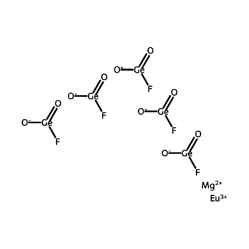 [Eu+3].[Mg+2].[O]=[Ge]([O-])[F].[O]=[Ge]([O-])[F].[O]=[Ge]([O-])[F].[O]=[Ge]([O-])[F].[O]=[Ge]([O-])[F]